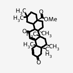 COC(=O)[C@]12CCC(C)(C)CC1C1C(=O)C=C3[C@@]4(C)C=CC(=O)C[C@@]4(C)[C@H](C)C[C@@]3(C)[C@]1(C)CC2